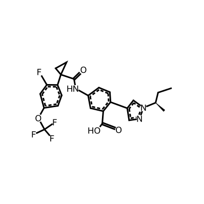 CC[C@@H](C)n1cc(-c2ccc(NC(=O)C3(c4ccc(OC(F)(F)F)cc4F)CC3)cc2C(=O)O)cn1